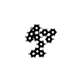 c1ccc(-c2ccccc2-c2ccc(N(c3cccc(-c4cccc(-c5cc6ccccc6c6ccccc56)c4)c3)c3cccc4sc5cc6ccccc6cc5c34)cc2)cc1